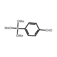 CO[Si](OC)(OC)c1ccc(C=O)cc1